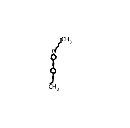 CCCC#Cc1ccc(C#Cc2ccc(OCCCCCCC)cc2)cc1